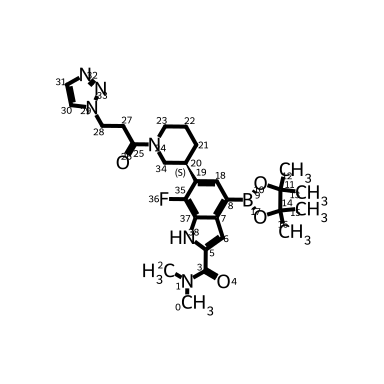 CN(C)C(=O)c1cc2c(B3OC(C)(C)C(C)(C)O3)cc([C@@H]3CCCN(C(=O)CCn4ccnn4)C3)c(F)c2[nH]1